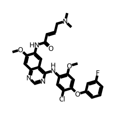 COc1cc2ncnc(Nc3cc(Cl)c(Oc4cccc(F)c4)cc3OC)c2cc1NC(=O)/C=C/CN(C)C